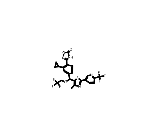 Cc1nc(-c2ccc(C(F)(F)F)nc2)sc1C(OCC(F)(F)F)c1ccc(-c2noc(=O)[nH]2)c(C2CC2)c1